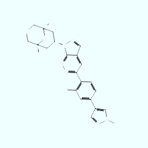 Cn1cc(-c2ccc(-c3cc4cnn([C@@H]5C[C@H]6COC[C@@H](C5)N6)c4nn3)c(O)c2)cn1